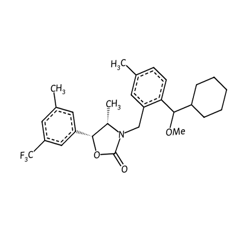 COC(c1ccc(C)cc1CN1C(=O)O[C@H](c2cc(C)cc(C(F)(F)F)c2)[C@@H]1C)C1CCCCC1